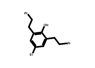 CCc1cc(CCC(C)C)c(O)c(CCC(C)C)c1